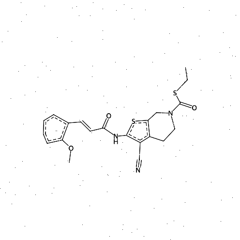 CCSC(=O)N1CCc2c(sc(NC(=O)/C=C/c3ccccc3OC)c2C#N)C1